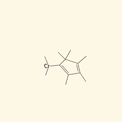 CC1=C(C)C(C)(C)[C]([Cr]([CH3])[CH3])=C1C